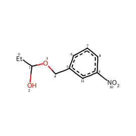 CCC(O)OCc1cccc([N+](=O)[O-])c1